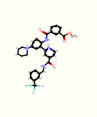 COC(=O)c1cccc(C(=O)Nc2ccc(N3CCCCC3)cc2-c2cc(C(=O)NCc3cccc(C(F)(F)F)c3)ccn2)c1